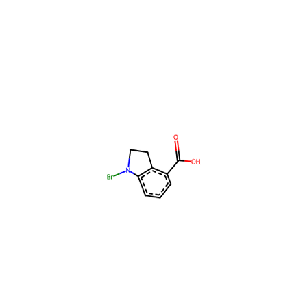 O=C(O)c1cccc2c1CCN2Br